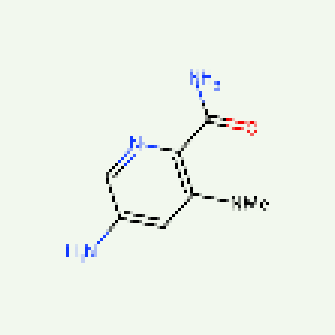 CNc1cc(N)cnc1C(N)=O